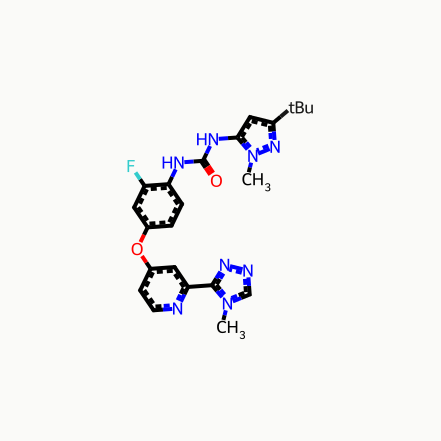 Cn1cnnc1-c1cc(Oc2ccc(NC(=O)Nc3cc(C(C)(C)C)nn3C)c(F)c2)ccn1